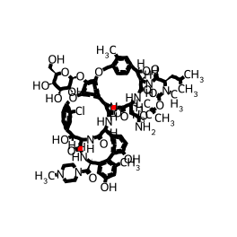 Cc1cc2ccc1Oc1cc3cc(c1O[C@@H]1O[C@H](CO)[C@@H](O)[C@H](O)[C@H]1O)Oc1ccc(cc1Cl)[C@@H](O)[C@@H]1NC(=O)[C@@H](NC(=O)[C@@H]3NC(=O)[C@H](CC(N)=O)NC(=O)[C@H](NC(=O)[C@@H](CC(C)C)N(C)C(=O)OC(C)(C)C)[C@@H]2O)c2ccc(O)c(c2)-c2c(C)cc(O)cc2[C@@H](C(=O)N2CCN(C)CC2)NC1=O